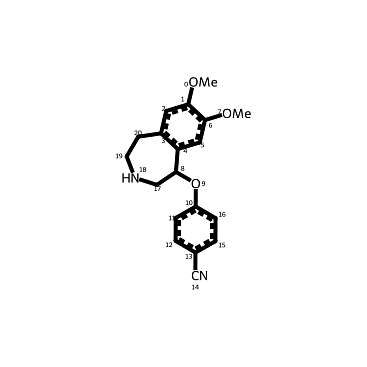 COc1cc2c(cc1OC)C(Oc1ccc(C#N)cc1)CNCC2